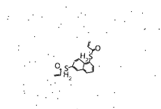 C=CC(=O)[SH2]c1ccc2c([SH2]C(=O)C=C)cccc2c1